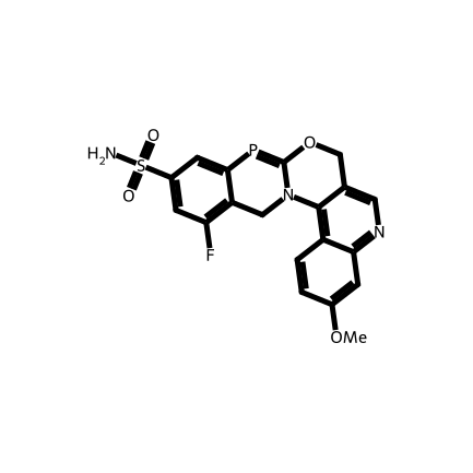 COc1ccc2c3c(cnc2c1)COC1=Pc2cc(S(N)(=O)=O)cc(F)c2CN13